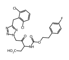 O=C(O)CC(NC(=O)OCCc1ccc(F)cc1)C(=O)Cn1nnc(Cc2c(Cl)cccc2Cl)n1